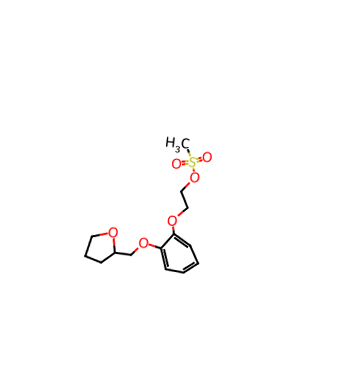 CS(=O)(=O)OCCOc1ccccc1OCC1CCCO1